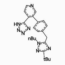 CCCCn1nc(C(C)(C)C)nc1Cc1ccc(-c2cnccc2-c2nnn[nH]2)cc1